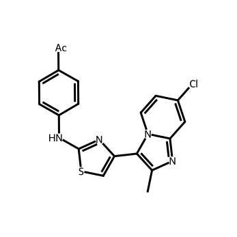 CC(=O)c1ccc(Nc2nc(-c3c(C)nc4cc(Cl)ccn34)cs2)cc1